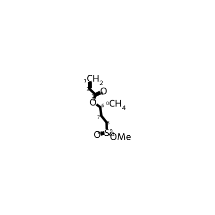 C.C=CC(=O)OCCCS(=O)OC